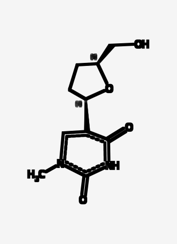 Cn1cc([C@H]2CC[C@@H](CO)O2)c(=O)[nH]c1=O